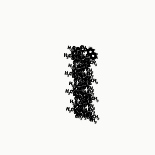 C[Si](C)(C)O[Si](C)(C)O[Si](C)(C)O[Si](C)(C)O[Si](C)(C)O[Si](C)(C)O[Si](C)(C)O[Si](C)(C)O[Si](C)(C)O[Si](C)(C)O[Si](C)(C)O[Si](C)(C)O[Si](C)(C)O[Si](C)(C)O[Si](C)(C)O[Si](C)(C)O[Si](C)(C)O[Si](C)(C)O[Si](C)(C)O[Si](C)(C)O[Si](C)(C)O[Si](C)(C)O[Si](C)(C)O[Si](C)(C)O[Si](C)(C)O[Si](C)(C)O[Si](C)(C)O[Si](C)(C)O[Si](C)(C)O[Si](C)(C)O[Si](C)(C)COc1ccc2ccccc2c1